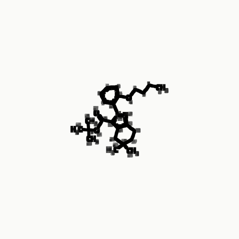 CCCCOc1ccccc1-n1nc2c(c1C(=O)OC(C)(C)C)CC(C)(C)CC2